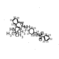 CC(C)(C)Nc1nc(NC[C@H]2CC[C@H](CNS(=O)(=O)c3ccccc3)CC2)nc2ccccc12